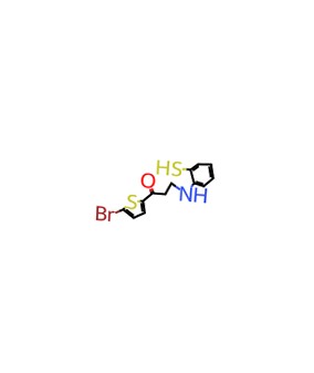 O=C(CCNc1ccccc1S)c1ccc(Br)s1